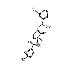 CC1(NC(=O)c2ccc(Cl)o2)CCN(CC(O)c2cccc(Cl)c2)C1=S